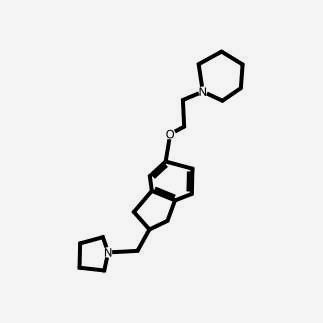 c1cc2c(cc1OCCN1CCCCC1)CC(CN1CCCC1)C2